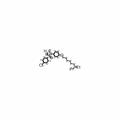 CCN(CCCCCCOc1ccc(N(C)S(=O)(=O)c2ccc(Cl)cc2)cc1)C(C)C